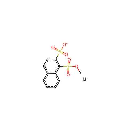 COS(=O)(=O)c1c(S(=O)(=O)[O-])ccc2ccccc12.[Li+]